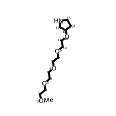 COCCOCCOCCOCCOC1CCNC1